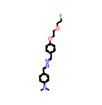 CN(C)c1ccc(/C=N/N=C/c2ccc(OCCOCCF)cc2)cc1